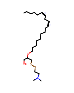 CCCCC/C=C\C/C=C\CCCCCCCCOC(CO)CSSCCN(C)C